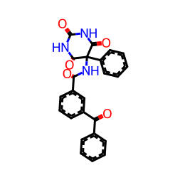 O=C1NC(=O)C(NC(=O)c2cccc(C(=O)c3ccccc3)c2)(c2ccccc2)C(=O)N1